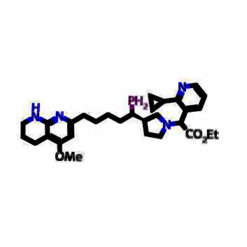 CCOC(=O)C(c1cccnc1C1CC1)N1CC[C@@H](C(P)CCCCc2cc(OC)c3c(n2)NCCC3)C1